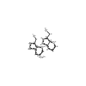 [Cu+2].[O-]Cc1nnc2cccoc1-2.[O-]Cc1nnc2cccoc1-2